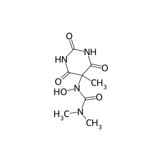 CN(C)C(=O)N(O)C1(C)C(=O)NC(=O)NC1=O